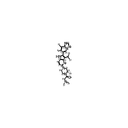 Cc1c(-c2[nH]c3ccc(N4CCN(C(=O)CN(C)C)[C@@H](C)C4)nc3c2C(C)C)cn2ncnc2c1C